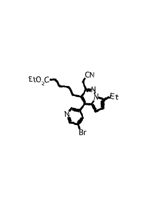 CCOC(=O)CCCCc1c(CC#N)nn2c(CC)ccc2c1-c1cncc(Br)c1